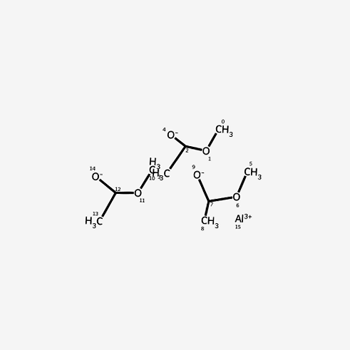 COC(C)[O-].COC(C)[O-].COC(C)[O-].[Al+3]